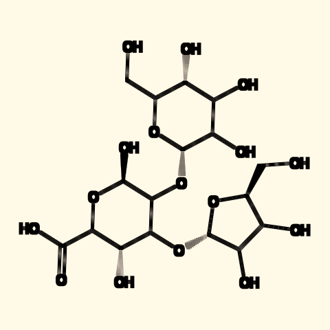 O=C(O)C1O[C@@H](O)C(O[C@@H]2OC(CO)[C@H](O)C(O)C2O)C(O[C@@H]2O[C@@H](CO)C(O)C2O)[C@@H]1O